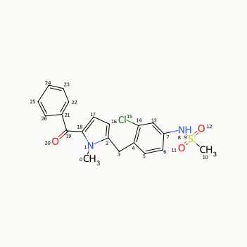 Cn1c(Cc2ccc(NS(C)(=O)=O)cc2Cl)ccc1C(=O)c1ccccc1